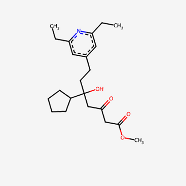 CCc1cc(CCC(O)(CC(=O)CC(=O)OC)C2CCCC2)cc(CC)n1